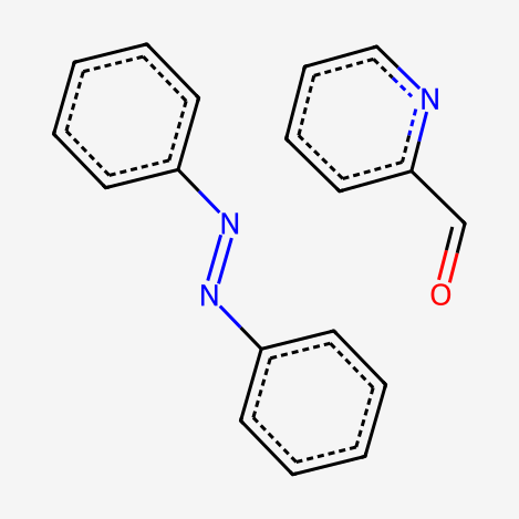 O=Cc1ccccn1.c1ccc(/N=N/c2ccccc2)cc1